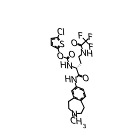 CN1CCc2ccc(NC(=O)[C@@H](CCNC(=O)C(F)(F)F)NC(=O)Oc3ccc(Cl)s3)cc2CC1